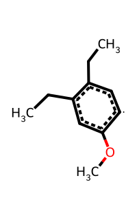 CCc1c[c]c(OC)cc1CC